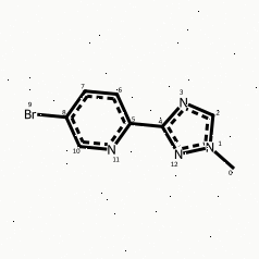 Cn1cnc(-c2ccc(Br)cn2)n1